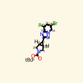 CC(C)(C)OC(=O)N1C[C@@H]2C(c3nc4c(F)cc(Br)cn4n3)[C@@H]2C1